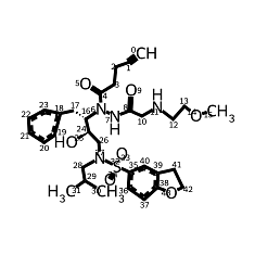 C#CCCC(=O)N(NC(=O)CNCCOC)[C@@H](Cc1ccccc1)[C@H](O)CN(CC(C)C)S(=O)(=O)c1ccc2c(c1)CCO2